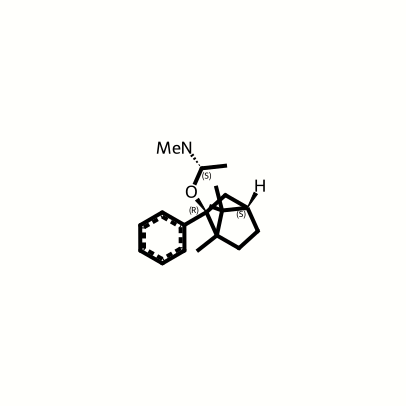 CN[C@H](C)O[C@@]1(c2ccccc2)C[C@@H]2CCC1(C)C2(C)C